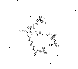 CCCCCCCCCCC(CCCCCCCC(=O)OOC(CC)CC)N(CCCCCCCCC(=O)OOC(CC)CC)C(=O)CCCCN(C)C